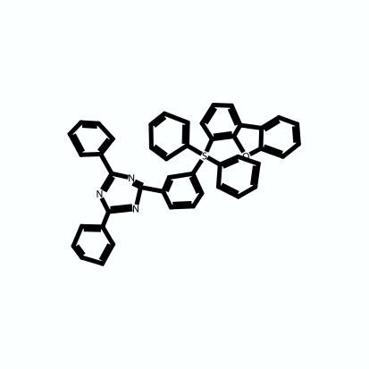 c1ccc(-c2nc(-c3ccccc3)nc(-c3cccc(S(c4ccccc4)(c4ccccc4)c4cccc5c4oc4ccccc45)c3)n2)cc1